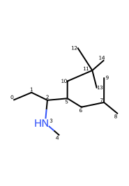 CCC(NC)C(CC(C)C)CC(C)(C)C